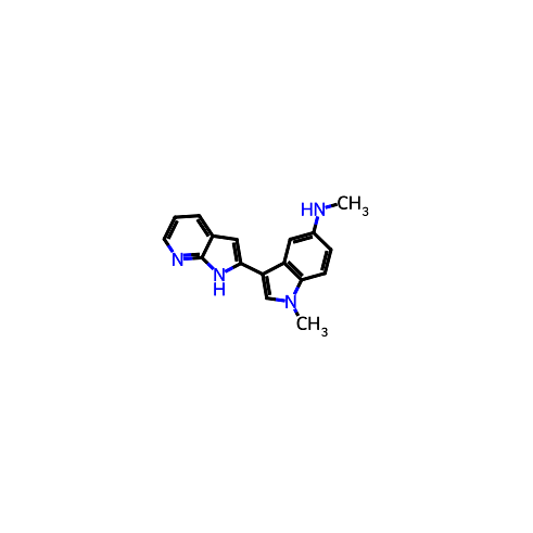 CNc1ccc2c(c1)c(-c1cc3cccnc3[nH]1)cn2C